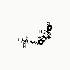 Cc1c(S(=O)(=O)N[C@@H](Cc2ccc(OCCCONC(=N)N)cc2)C(=O)O)sc2ccc(Cl)cc12